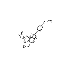 CC1=CC(=O)N(Nc2nc(CC3CC3)nc3sc(-c4ccc(OCCN(C)C)cc4)c(C)c23)C1=O